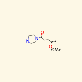 C=C(CCC(=O)N1CCN(C)CC1)OOC